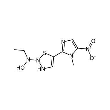 CCN(O)N1NC=C(c2ncc([N+](=O)[O-])n2C)S1